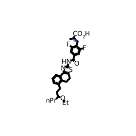 CCCC(CCc1cccc2c1CCc1sc(NC(=O)c3cc(F)c(/C=C(\C)C(=O)O)c(F)c3)nc1-2)OCC